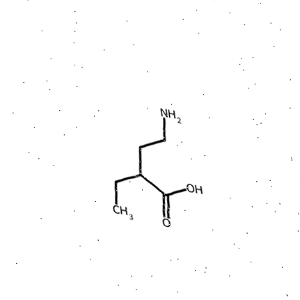 CCC(CCN)C(=O)O